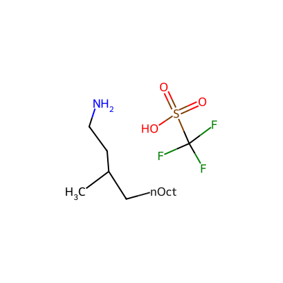 CCCCCCCCCC(C)CCN.O=S(=O)(O)C(F)(F)F